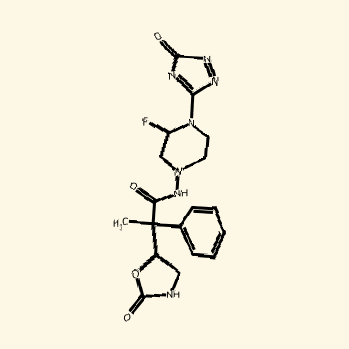 CC(C(=O)NN1CCN(C2=NC(=O)N=N2)C(F)C1)(c1ccccc1)C1CNC(=O)O1